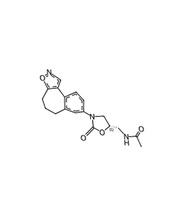 CC(=O)NC[C@H]1CN(c2ccc3c(c2)CCCc2oncc2-3)C(=O)O1